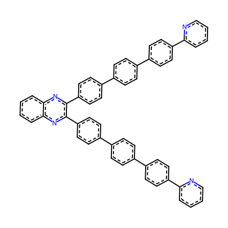 c1ccc(-c2ccc(-c3ccc(-c4ccc(-c5nc6ccccc6nc5-c5ccc(-c6ccc(-c7ccc(-c8ccccn8)cc7)cc6)cc5)cc4)cc3)cc2)nc1